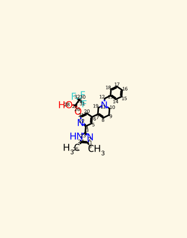 Cc1nc(-c2cc(C3=CCCN(Cc4ccccc4)C3)ccn2)[nH]c1C.O=C(O)C(F)(F)F